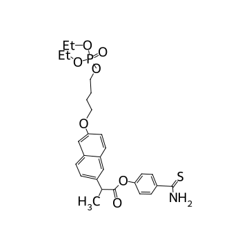 CCOP(=O)(OCC)OCCCCOc1ccc2cc(C(C)C(=O)Oc3ccc(C(N)=S)cc3)ccc2c1